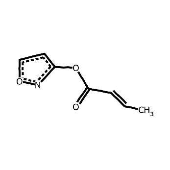 CC=CC(=O)Oc1ccon1